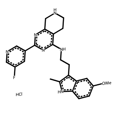 COc1ccc2[nH]c(C)c(CCNc3nc(-c4cncc(F)c4)nc4c3CCNC4)c2c1.Cl